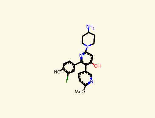 COc1ccc(-c2c(O)cc(N3CCC(N)CC3)nc2-c2ccc(C#N)c(F)c2)cn1